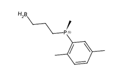 BCCC[P@@](C)c1cc(C)ccc1C